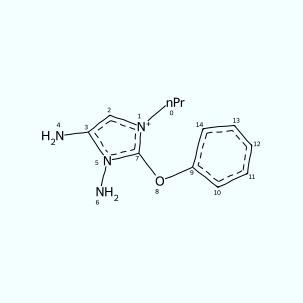 CCC[n+]1cc(N)n(N)c1Oc1ccccc1